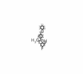 C[C@@H](Cc1cc(F)cc(F)c1)C(O)c1ccc(COc2ccccc2)cn1